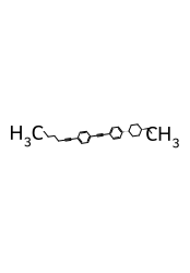 CCCCCC#Cc1ccc(C#Cc2ccc([C@H]3CC[C@H](CC)CC3)cc2)cc1